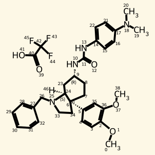 COc1ccc([C@@]23CC[C@@H](NC(=O)Nc4ccc(N(C)C)cc4)C[C@@H]2N(Cc2ccccc2)CC3)cc1OC.O=C(O)C(F)(F)F